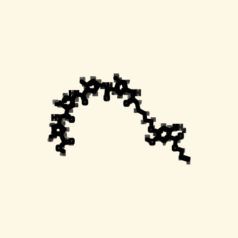 C=CCOC(=O)c1cc(OC)c(OCCCCCC(=O)Nc2cc(C(=O)Nc3cc(C(=O)Nc4cc(C(=O)Nc5cc(C(=O)OC)n(C)c5)n(C)c4)n(C)c3)n(C)c2)cc1N